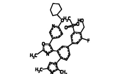 Cc1cn(-c2ccc(-c3cc(F)c(CO)c(S(C)(=O)=O)c3)cc2-c2nc(C)oc2-c2ccc(OC3CCCCC3)nc2)c(C)n1